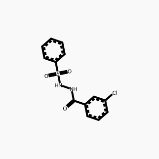 O=C(NNS(=O)(=O)c1ccccc1)c1cccc(Cl)c1